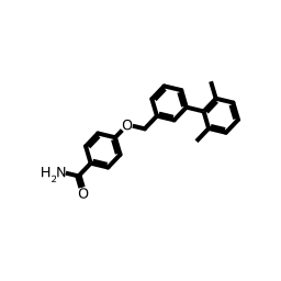 Cc1cccc(C)c1-c1cccc(COc2ccc(C(N)=O)cc2)c1